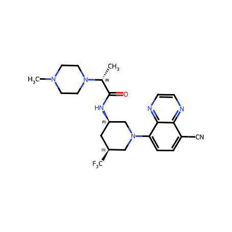 C[C@H](C(=O)N[C@@H]1C[C@H](C(F)(F)F)CN(c2ccc(C#N)c3nccnc23)C1)N1CCN(C)CC1